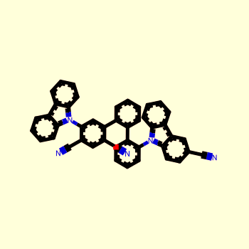 N#Cc1ccc2c(c1)c1ccccc1n2-c1ccccc1-c1ccccc1-c1cc(-n2c3ccccc3c3ccccc32)c(C#N)cc1C#N